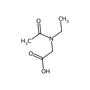 CCN(CC(=O)O)C(C)=O